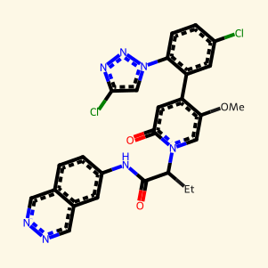 CCC(C(=O)Nc1ccc2cnncc2c1)n1cc(OC)c(-c2cc(Cl)ccc2-n2cc(Cl)nn2)cc1=O